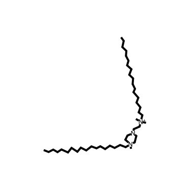 CCCCCCCCCCCCCCCCCC[N+](C)(C)CCN1CC[N+](C)(CCCCCCCCCCCCCCCCCC)CC1